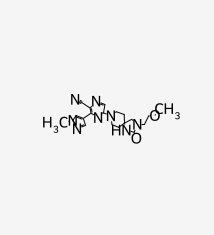 COCCN1CC2(CCN(c3cnc(C#N)c(-c4cnn(C)c4)n3)CC2)NC1=O